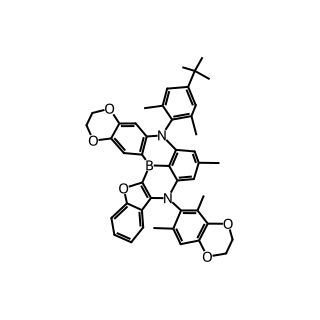 Cc1cc2c3c(c1)N(c1c(C)cc4c(c1C)OCCO4)c1c(oc4ccccc14)B3c1cc3c(cc1N2c1c(C)cc(C(C)(C)C)cc1C)OCCO3